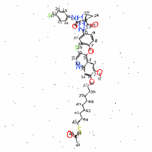 COc1cc2c(Oc3ccc(NC(=O)C4(C(=O)Nc5ccc(F)cc5)CC4)cc3F)ccnc2cc1OCCCCCCCCCSC(C)=O